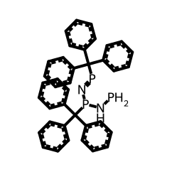 PNP(N=PC(c1ccccc1)(c1ccccc1)c1ccccc1)C(c1ccccc1)(c1ccccc1)c1ccccc1